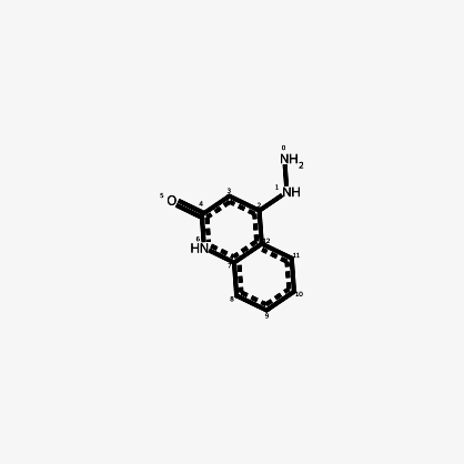 NNc1cc(=O)[nH]c2ccccc12